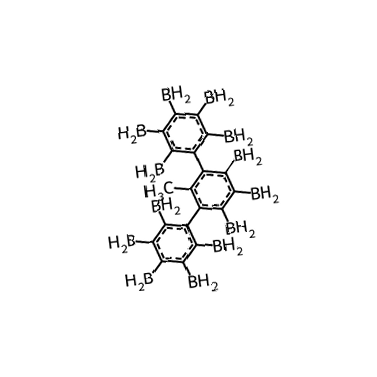 Bc1c(B)c(B)c(-c2c(B)c(B)c(B)c(-c3c(B)c(B)c(B)c(B)c3B)c2C)c(B)c1B